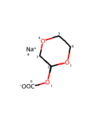 O=C([O-])OC1COCCO1.[Na+]